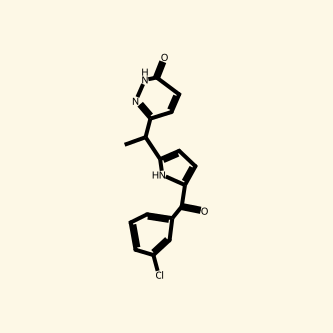 CC(c1ccc(=O)[nH]n1)c1ccc(C(=O)c2cccc(Cl)c2)[nH]1